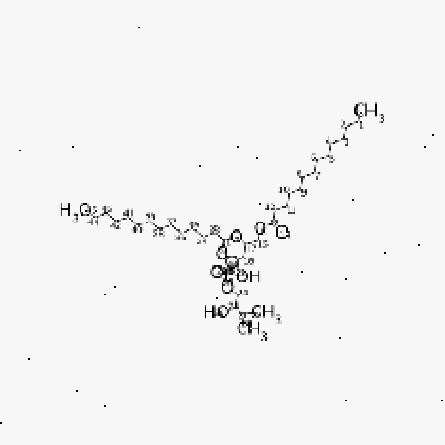 CCCCCCCCCCCCCC(=O)OCC(COP(=O)(O)OCC(O)C(C)C)OC(=O)CCCCCCCCCCCCC